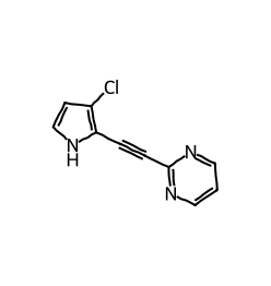 Clc1cc[nH]c1C#Cc1ncccn1